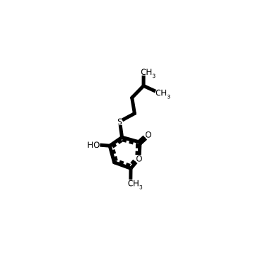 Cc1cc(O)c(SCCC(C)C)c(=O)o1